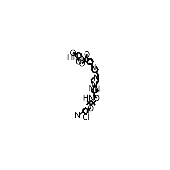 CC1(C)[C@H](NC(=O)c2cnc(N3CCCN(CC4CCN(c5ccc6c(c5)C(=O)N(C5CCC(=O)NC5=O)C6=O)CC4)CC3)nc2)C(C)(C)[C@H]1Oc1ccc(C#N)c(Cl)c1